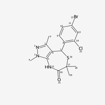 Cc1nn(C)c2c1C(c1ccc(Br)cc1Cl)SC(C)(C)C(=O)N2